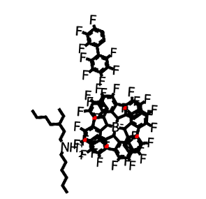 CCCCCC[NH2+]CCC(CC)CCCC.Fc1cc2c(c(F)c1F)-c1c(F)c(F)c(F)c(F)c1C2[B-](C1c2cc(F)c(F)c(F)c2-c2c(F)c(F)c(F)c(F)c21)(C1c2cc(F)c(F)c(F)c2-c2c(F)c(F)c(F)c(F)c21)C1c2cc(F)c(F)c(F)c2-c2c(F)c(F)c(F)c(F)c21.Fc1ccc(-c2c(F)c(F)c(F)c(F)c2F)c(F)c1F